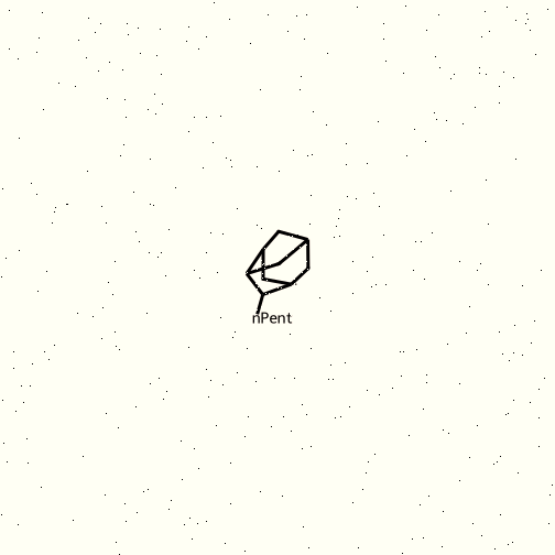 CCCCCC1[C]2CC3CC(C2)C1C3